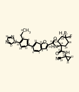 CCc1cc(-c2ccc3cc(C(=O)NC4(C(=O)NC5(C#N)CC5)CCC(F)(P)CC4)oc3c2)ccc1-n1cncn1